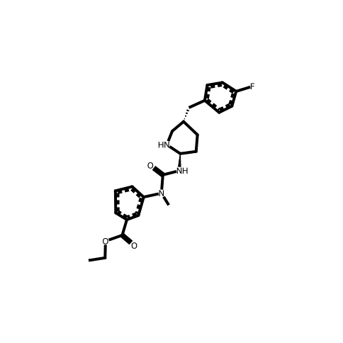 CCOC(=O)c1cccc(N(C)C(=O)N[C@@H]2CC[C@@H](Cc3ccc(F)cc3)CN2)c1